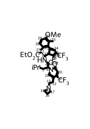 CCOC(=O)C[C@H](NC(=O)C(CC(C)C)n1cc(CCN2CCC2)c(C(F)(F)F)cc1=O)C1C(c2c(C)ccc(OC)c2C)=CC(C(F)(F)F)=C1F